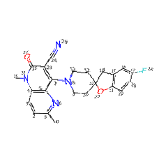 Cc1ccc2c(n1)c(N1CCC3(CC1)Cc1cc(F)ccc1O3)c(C#N)c(=O)n2C